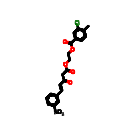 Cc1ccc(C(=O)OCCOC(=O)CC(=O)C=Cc2cccc([N+](=O)[O-])c2)cc1Cl